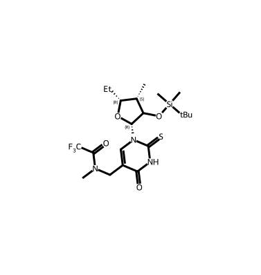 CC[C@H]1O[C@@H](n2cc(CN(C)C(=O)C(F)(F)F)c(=O)[nH]c2=S)C(O[Si](C)(C)C(C)(C)C)[C@H]1C